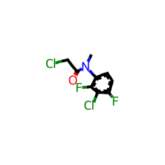 CN(C(=O)CCl)c1ccc(F)c(Cl)c1F